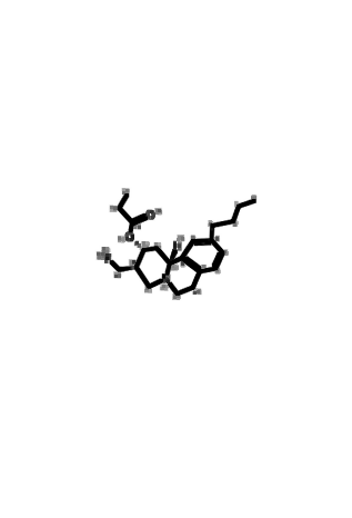 CCCCc1ccc2c(c1)[C@H]1C[C@@H](OC(=O)CC)[C@H](C[18F])CN1CC2